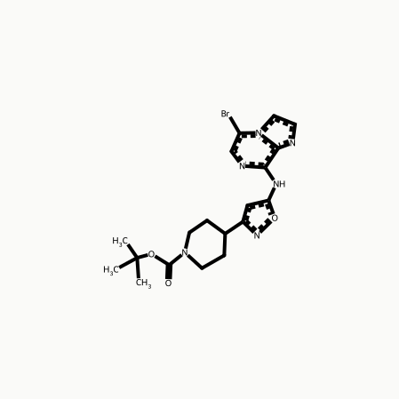 CC(C)(C)OC(=O)N1CCC(c2cc(Nc3ncc(Br)n4ccnc34)on2)CC1